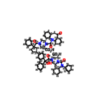 O=C1Cc2ccccc2N(C(=O)N2CCN(C(=O)C3(c4ccccc4)CCC(c4ccc5c(c4)-c4ccccc4C5(O)C(=O)N4CCN(C(=O)N(c5ccccc5)c5ccccc5)C[C@H]4C(=O)O)C3)C[C@H]2C(=O)O)c2ccccc21